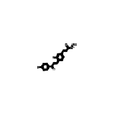 O=C(C=Cc1ccc(C=CC(=O)c2ccc(F)cc2)c(F)c1)NO